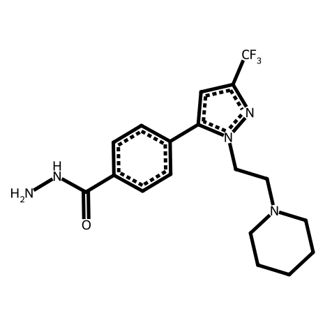 NNC(=O)c1ccc(-c2cc(C(F)(F)F)nn2CCN2CCCCC2)cc1